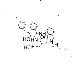 CC(C)CC(CC(=O)N(C)Cc1ccccc1)C(=O)NC(C(O)CCc1ccccc1)C(N)c1ccccc1.Cl